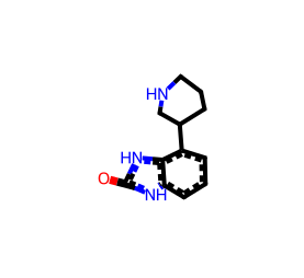 O=c1[nH]c2cccc(C3CCCNC3)c2[nH]1